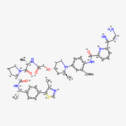 COc1cc(N2CC[C@@H](OCC(=O)N[C@H](C(=O)N3CCC[C@H]3C(=O)N[C@@H](C)c3ccc(-c4scnc4C)cc3)C(C)(C)C)C[C@@H]2C)ccc1NC(=O)c1cccc(C(=N)/C=C\N)n1